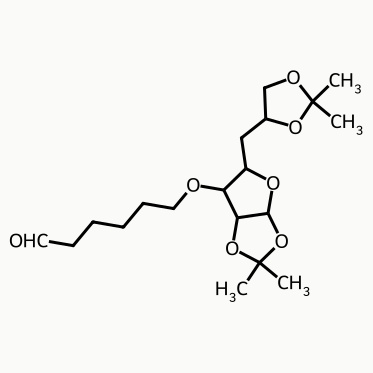 CC1(C)OCC(CC2OC3OC(C)(C)OC3C2OCCCCCC=O)O1